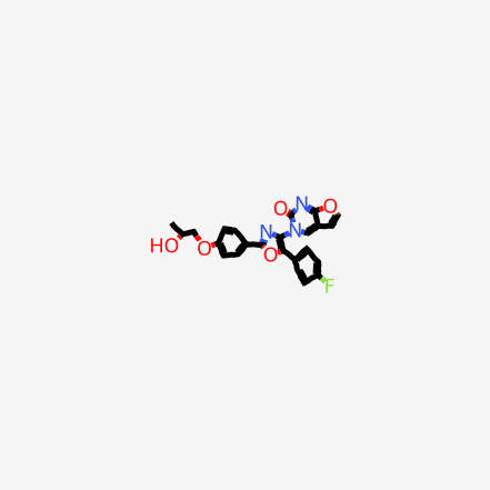 CC(O)COc1ccc(-c2nc(-n3cc4ccoc4nc3=O)c(-c3ccc(F)cc3)o2)cc1